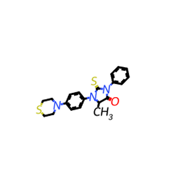 CC1C(=O)N(c2ccccc2)C(=S)N1c1ccc(N2CCSCC2)cc1